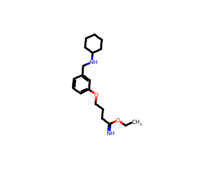 CCOC(=N)CCCOc1cccc(CNC2CCCCC2)c1